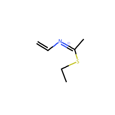 C=C/N=C(/C)SCC